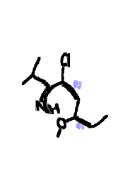 C/C=C(\C=C(\Cl)C(=N)C(C)C)OC